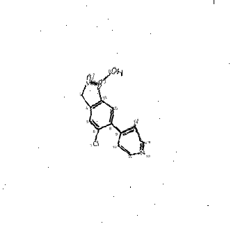 OB1OCc2cc(Cl)c(-c3ccncc3)cc21